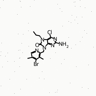 CCCn1c(=O)n(Cc2ncc(C)c(Br)c2C)c2nc(N)nc(Cl)c21